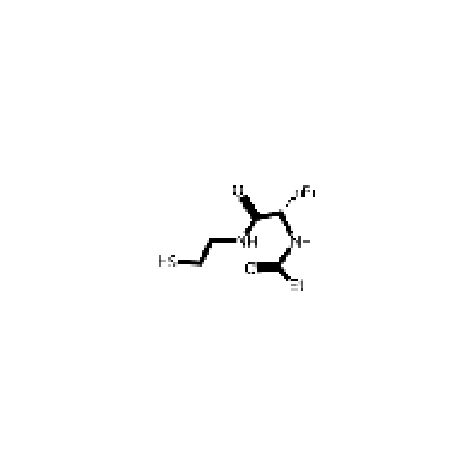 CCC[C@H](NC(=O)CC)C(=O)NCCS